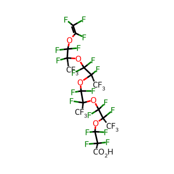 O=C(O)C(F)(F)C(F)(F)OC(F)(C(F)(F)F)C(F)(F)OC(F)(C(F)(F)F)C(F)(F)OC(F)(C(F)(F)F)C(F)(F)OC(F)(C(F)(F)F)C(F)(F)OC(F)=C(F)F